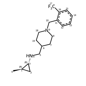 C[C@@H]1C[C@H]1NCC1CCN(Cc2ccccc2C(F)(F)F)CC1